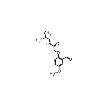 COc1ccc(OCC(=O)NCC(C)C)c(C=O)c1